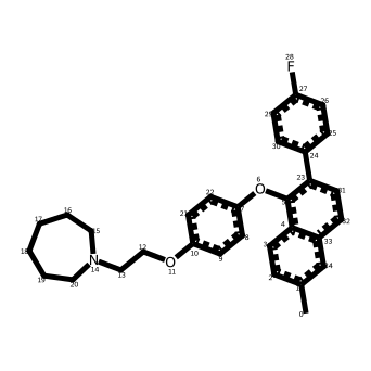 Cc1ccc2c(Oc3ccc(OCCN4CCCCCC4)cc3)c(-c3ccc(F)cc3)ccc2c1